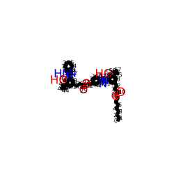 CCCCCCCCOC(=O)CCc1cc(-n2nc3ccc(COC(=O)CCc4cc(N5N=C6C=CC=CC6N5)c(O)c(C(C)(C)C)c4)cc3n2)c(O)c(C(C)(C)C)c1